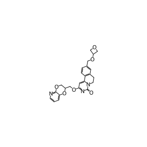 O=c1nc(OCC2COc3ncccc3O2)cc2n1CCc1cc(COC3COC3)ccc1-2